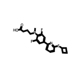 CN(CCCC(=O)O)c1c(F)cc(-c2cccc(SC3CCC3)n2)cc1F